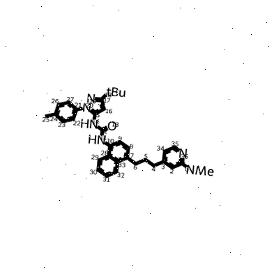 CNc1cc(CCCc2ccc(NC(=O)Nc3cc(C(C)(C)C)nn3-c3ccc(C)cc3)c3ccccc23)ccn1